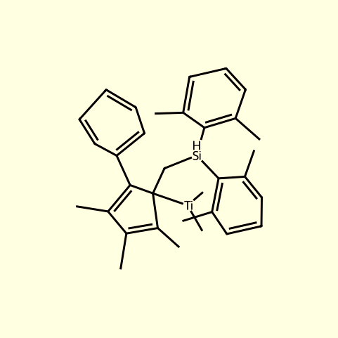 CC1=C(C)[C](C[SiH](c2c(C)cccc2C)c2c(C)cccc2C)([Ti]([CH3])[CH3])C(c2ccccc2)=C1C